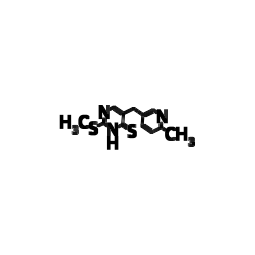 CSc1ncc(Cc2ccc(C)nc2)c(=S)[nH]1